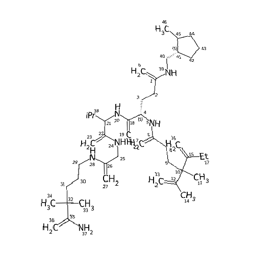 C=C(CC[C@H](NC(=C)CCC(C)(C(=C)C)C(=C)CC)C(=C)NC(C(=C)NCC(=C)NCCCC(C)(C)C(=C)N)C(C)C)NC[C@H]1CCCC1C